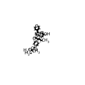 CCc1c(N2CCN(C(=O)OC(C)(C)C)CC2)c(=O)n2nc(C3=CCOCC3)nc2n1CC(=O)O